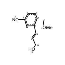 COC.N#Cc1cccc(C=CCO)c1